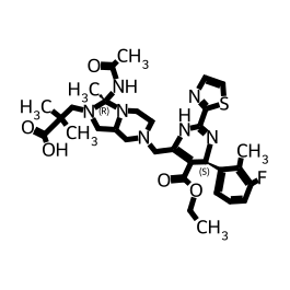 CCOC(=O)C1=C(CN2CCN3C(C2)CN(CC(C)(C)C(=O)O)[C@@]3(C)NC(C)=O)NC(c2nccs2)=N[C@H]1c1cccc(F)c1C